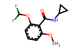 COc1cccc(OC(F)F)c1C(=O)NC1CC1